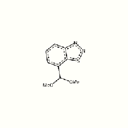 COC(OC)c1cccc2nnsc12